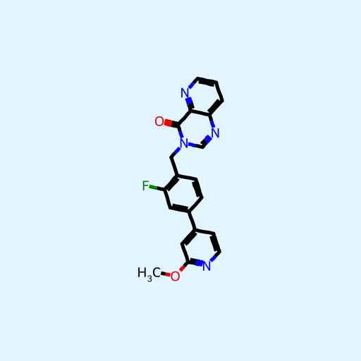 COc1cc(-c2ccc(Cn3cnc4cccnc4c3=O)c(F)c2)ccn1